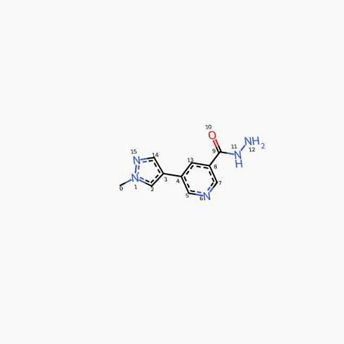 Cn1cc(-c2cncc(C(=O)NN)c2)cn1